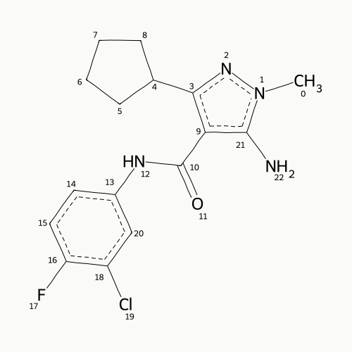 Cn1nc(C2CCCC2)c(C(=O)Nc2ccc(F)c(Cl)c2)c1N